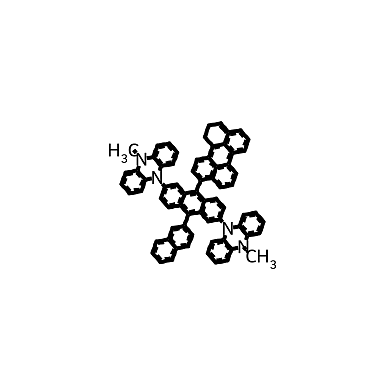 CN1c2ccccc2N(c2ccc3c(-c4ccc5c6c7c(cccc7c7cccc4c57)=CCC6)c4cc(N5c6ccccc6N(C)c6ccccc65)ccc4c(-c4ccc5ccccc5c4)c3c2)c2ccccc21